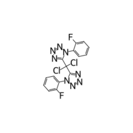 Fc1ccccc1-n1nnnc1C(Cl)(Cl)c1nnnn1-c1ccccc1F